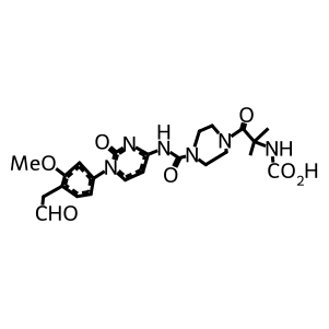 COc1cc(-n2ccc(NC(=O)N3CCN(C(=O)C(C)(C)NC(=O)O)CC3)nc2=O)ccc1CC=O